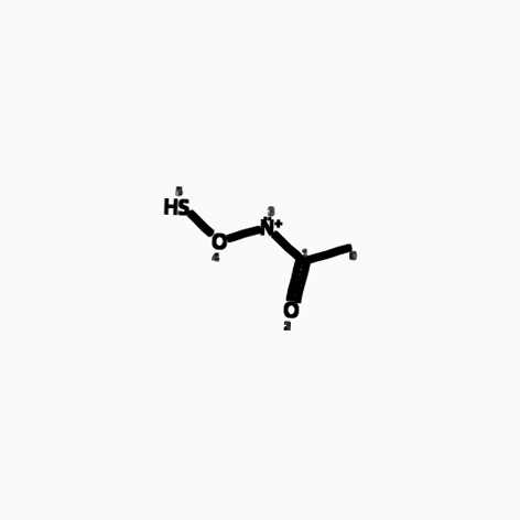 CC(=O)[N+]OS